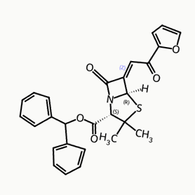 CC1(C)S[C@@H]2/C(=C\C(=O)c3ccco3)C(=O)N2[C@H]1C(=O)OC(c1ccccc1)c1ccccc1